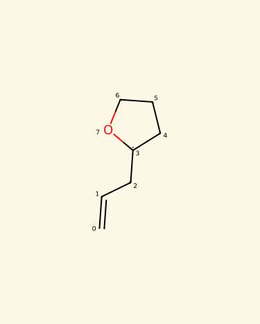 C=CC[C]1CCCO1